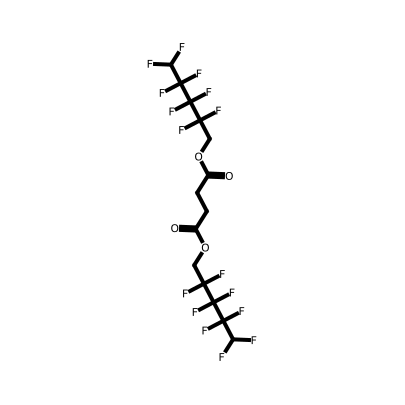 O=C(CCC(=O)OCC(F)(F)C(F)(F)C(F)(F)C(F)F)OCC(F)(F)C(F)(F)C(F)(F)C(F)F